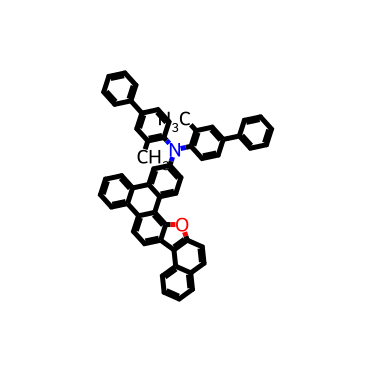 Cc1cc(-c2ccccc2)ccc1N(c1ccc2c(c1)c1ccccc1c1ccc3c(oc4ccc5ccccc5c43)c12)c1ccc(-c2ccccc2)cc1C